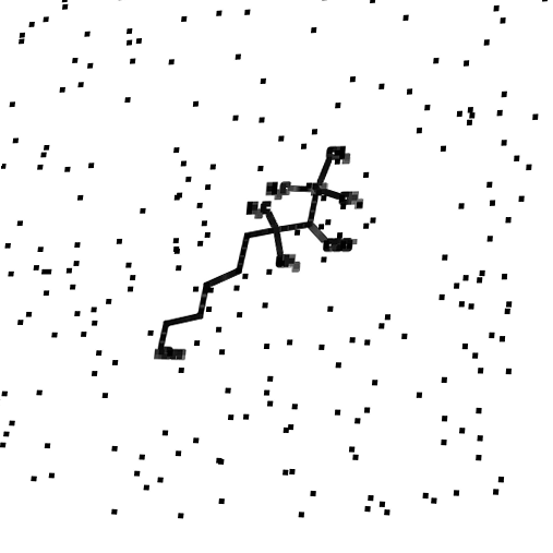 CCCCCCCCCCCCCCCC(C)(C)C(C(=O)[O-])[N+](C)(C)C